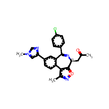 CC(=O)C[C@@H]1N=C(c2ccc(Cl)cc2)c2cc(-c3cn(C)cn3)ccc2-c2c(C)noc21